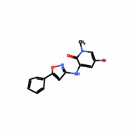 Cn1cc(Br)cc(Nc2cc(-c3ccccc3)on2)c1=O